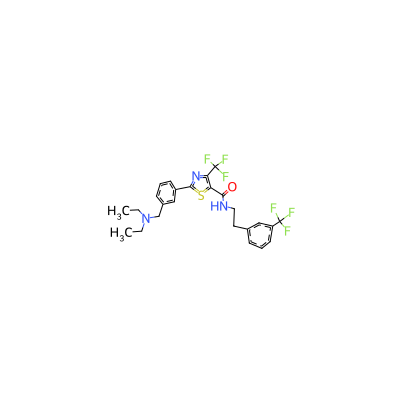 CCN(CC)Cc1cccc(-c2nc(C(F)(F)F)c(C(=O)NCCc3cccc(C(F)(F)F)c3)s2)c1